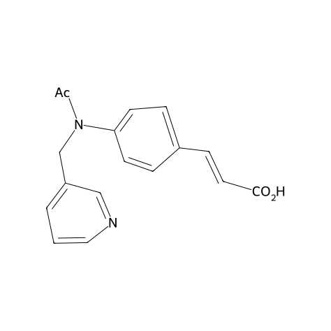 CC(=O)N(Cc1cccnc1)c1ccc(C=CC(=O)O)cc1